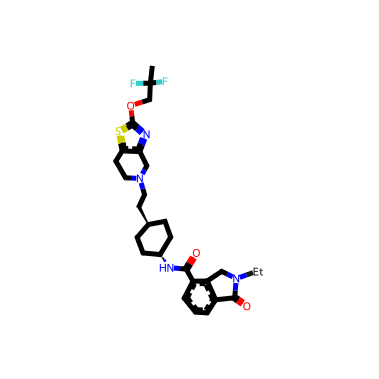 CCN1Cc2c(C(=O)N[C@H]3CC[C@H](CCN4CCc5sc(OCC(C)(F)F)nc5C4)CC3)cccc2C1=O